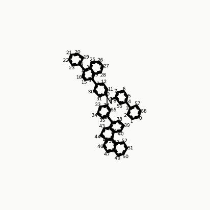 c1ccc(-c2cccc(N(c3ccc(-c4ccc(-c5ccccc5)c5ccccc45)cc3)c3cccc(-c4cccc5c4ccc4ccc6ccccc6c45)c3)c2)cc1